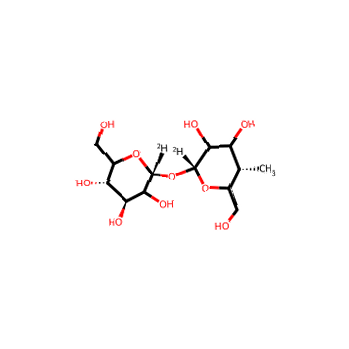 [2H][C@]1(O[C@@]2([2H])OC(CO)[C@@H](O)[C@H](O)C2O)OC(CO)[C@@H](C)C(O)C1O